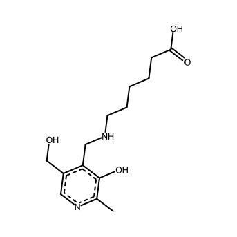 Cc1ncc(CO)c(CNCCCCCC(=O)O)c1O